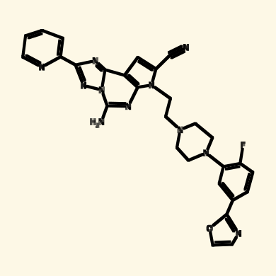 N#Cc1cc2c(nc(N)n3nc(-c4ccccn4)nc23)n1CCN1CCN(c2cc(-c3ncco3)ccc2F)CC1